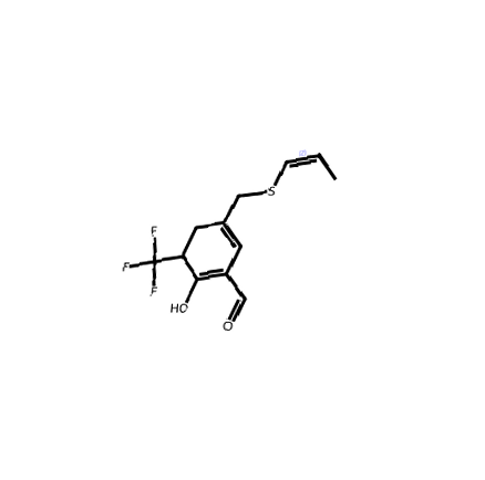 C/C=C\SCC1=CC(C=O)=C(O)C(C(F)(F)F)C1